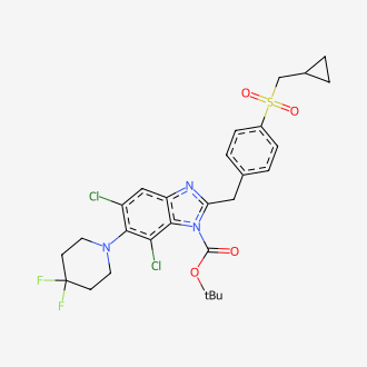 CC(C)(C)OC(=O)n1c(Cc2ccc(S(=O)(=O)CC3CC3)cc2)nc2cc(Cl)c(N3CCC(F)(F)CC3)c(Cl)c21